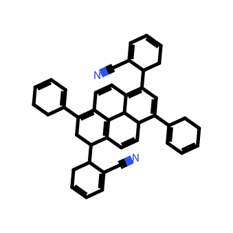 N#CC1=CC=CCC1C1=C2C=CC3=C(C4=CC=CCC4)CC(C4CC=CC=C4C#N)C4=C3C2C(C=C4)C(C2=CC=CCC2)=C1